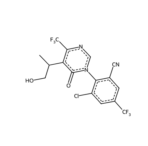 CC(CO)c1c(C(F)(F)F)ncn(-c2c(Cl)cc(C(F)(F)F)cc2C#N)c1=O